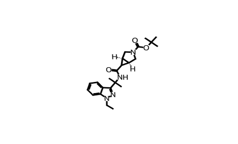 CCn1nc(C(C)(C)NC(=O)C2[C@H]3CN(C(=O)OC(C)(C)C)C[C@@H]23)c2ccccc21